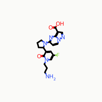 NCCCn1cc(F)cc(C2CCCN2c2ccn3ncc(C(=O)O)c3n2)c1=O